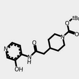 CC(C)(C)OC(=O)N1CCC(CC(=O)Nc2ccncc2O)CC1